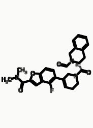 CN(C)C(=O)c1cc2c(F)c(C3=CCCN(C(=O)[C@H]4Cc5ccccc5CN4C=O)C3)ccc2o1